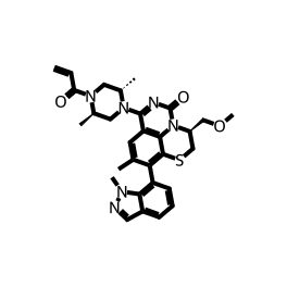 C=CC(=O)N1C[C@H](C)N(c2nc(=O)n3c4c(c(-c5cccc6cnn(C)c56)c(C)cc24)SC[C@@H]3COC)C[C@H]1C